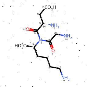 NCCCC[C@@H](C(=O)O)N(C(=O)CN)C(=O)[C@@H](N)CC(=O)O